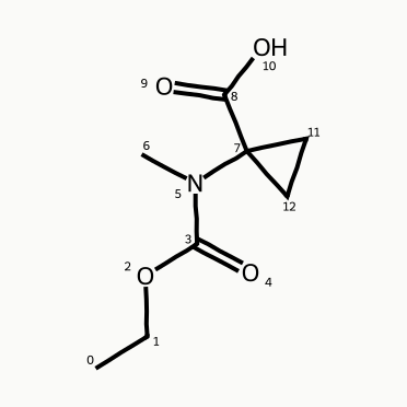 CCOC(=O)N(C)C1(C(=O)O)CC1